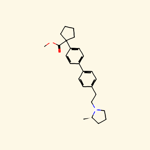 COC(=O)C1(c2ccc(-c3ccc(CCN4CCC[C@H]4C)cc3)cc2)CCCC1